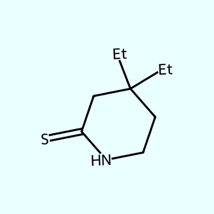 CCC1(CC)CCNC(=S)C1